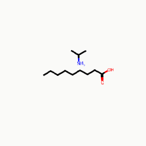 CC(C)N.CCCCCCCCC(=O)O